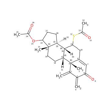 C=C1C(=C)[C@@]2(C)C(=CC1=O)CC(SC(C)=O)[C@@H]1[C@H]2CC[C@]2(C)C(OC(C)=O)CC[C@@H]12